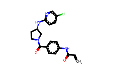 C=CC(=O)Nc1ccc(C(=O)N2CC[C@@H](Nc3ccc(Cl)cn3)C2)cc1